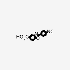 [C-]#[N+]c1ccc(-c2nc3cc(C(=O)O)ccc3o2)cc1